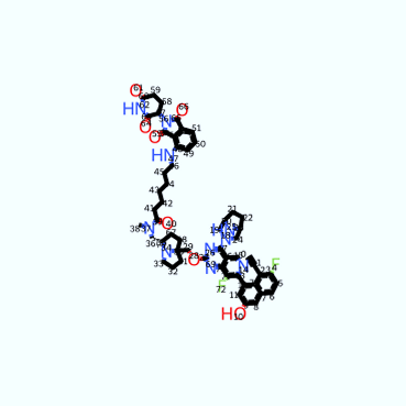 C#Cc1c(F)ccc2cc(O)cc(-c3ncc4c(N5CC6CCC(C5)N6)nc(OCC56CCCN5[C@H](CN(C)C(=O)CCCCCCNc5cccc7c5C(=O)N(C5CCC(=O)NC5=O)C7=O)CC6)nc4c3F)c12